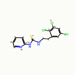 S=C(NCCc1cc(Cl)cc(Cl)c1Cl)Nc1ccccn1